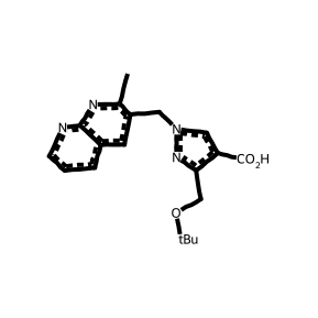 Cc1nc2ncccc2cc1Cn1cc(C(=O)O)c(COC(C)(C)C)n1